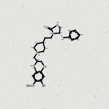 COc1cc2c(cc1Br)OCC(CN1CCC(CCN3C(=O)OC[C@@H]3Cc3ccccc3)CC1)O2